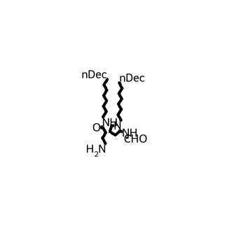 CCCCCCCCCCCCCCCCCCN1CCCC1NC=O.CCCCCCCCCCCCCCCCCCNC(=O)CCCN